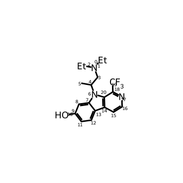 CCN(CC)CC(C)n1c2cc(O)ccc2c2ccnc(C(F)(F)F)c21